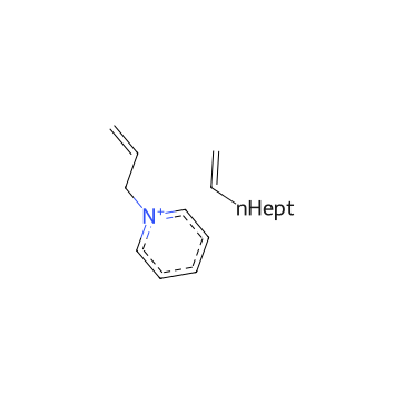 C=CCCCCCCC.C=CC[n+]1ccccc1